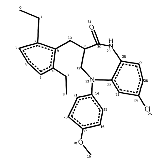 CCc1cccc(CC)c1CC1CN(c2ccc(OC)cc2)c2cc(Cl)ccc2NC1=O